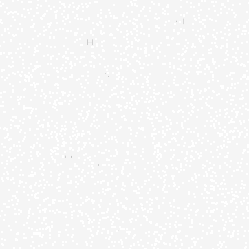 O=C(OCC12CC3CC(CC(C3)C1)C2)c1ccc(NCc2cc(O)ccc2O)cc1